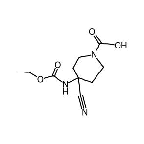 CCOC(=O)NC1(C#N)CCN(C(=O)O)CC1